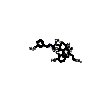 C=CCN1CC[C@]23c4c5ccc(O)c4OC2(C)C(N(C)C(=O)/C=C/c2cccc(C)c2)CC[C@@]3(O)[C@H]1C5